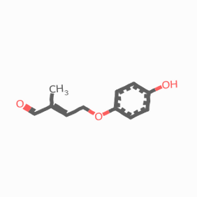 C/C(C=O)=C\COc1ccc(O)cc1